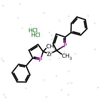 C[C]1([Zr][C]2(C)C=CC(c3ccccc3)=P2)C=CC(c2ccccc2)=P1.Cl.Cl